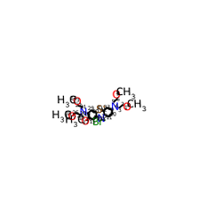 COCCN(CCOC)c1ccc2nc3cc(OC)c(N(CCOC)CCOC)cc3[s+]c2c1.[Br-]